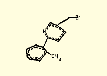 Cc1ccccc1-c1ccc(CBr)cn1